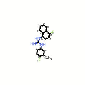 N=C(Nc1ccc(F)c(C(F)(F)F)c1)Nc1ccc(F)c2ccccc12